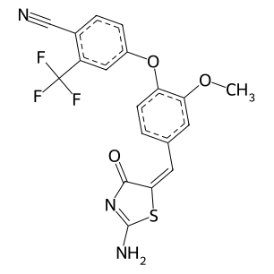 COc1cc(C=C2SC(N)=NC2=O)ccc1Oc1ccc(C#N)c(C(F)(F)F)c1